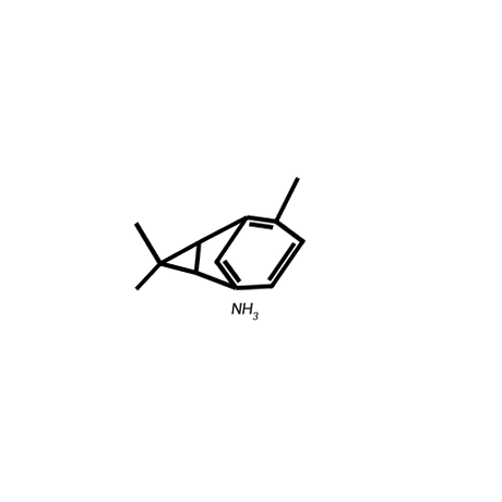 Cc1ccc2cc1C1C2C1(C)C.N